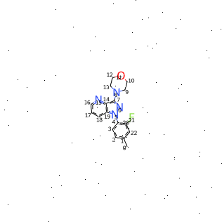 Cc1ccc(-n2nc(N3CCOCC3)c3ncccc32)c(F)c1